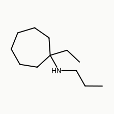 CCCNC1(CC)CCCCCC1